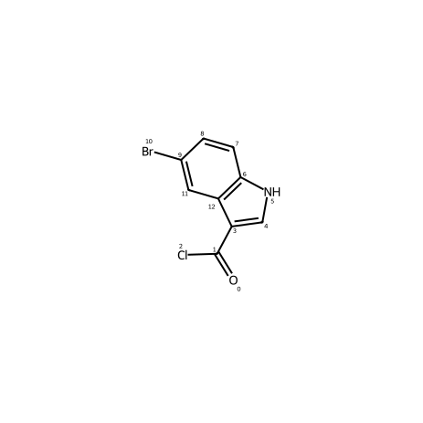 O=C(Cl)c1c[nH]c2ccc(Br)cc12